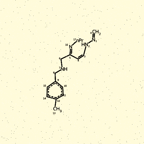 C=NN/C=C\C(CNCc1ccc(C)cc1)=N/CCC